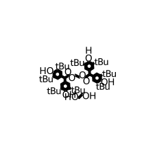 CC(C)(C)c1cc(C(C(=O)OCCOC(=O)C(c2cc(C(C)(C)C)c(O)c(C(C)(C)C)c2)c2cc(C(C)(C)C)c(O)c(C(C)(C)C)c2)c2cc(C(C)(C)C)c(O)c(C(C)(C)C)c2)cc(C(C)(C)C)c1O.OCCO